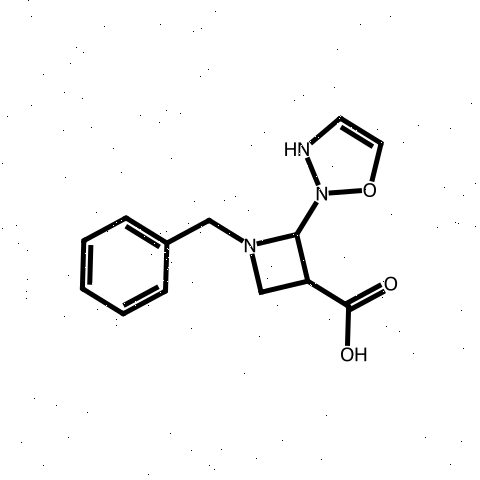 O=C(O)C1CN(Cc2ccccc2)C1N1NC=CO1